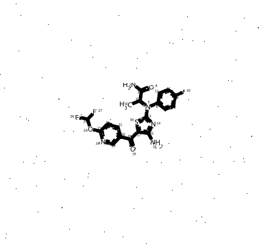 CC(C(N)=O)N(c1ccc(F)cc1)c1nc(N)c(C(=O)c2ccc(OC(F)F)nc2)s1